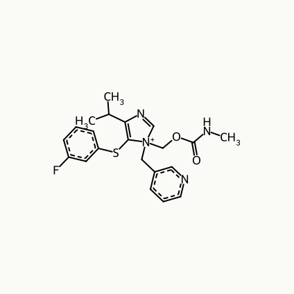 CNC(=O)OC[N+]1(Cc2cccnc2)C=NC(C(C)C)=C1Sc1cccc(F)c1